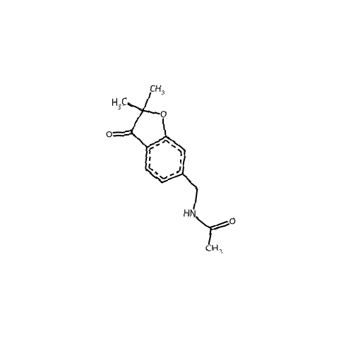 CC(=O)NCc1ccc2c(c1)OC(C)(C)C2=O